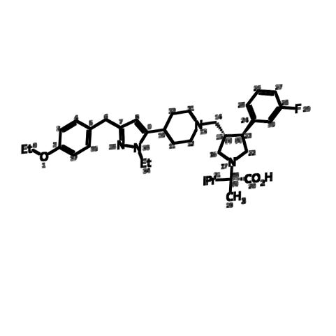 CCOc1ccc(Cc2cc(C3CCN(C[C@H]4CN([C@](C)(C(=O)O)C(C)C)C[C@@H]4c4cccc(F)c4)CC3)n(CC)n2)cc1